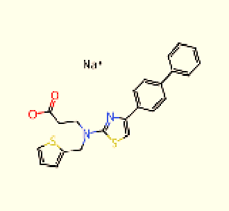 O=C([O-])CCN(Cc1cccs1)c1nc(-c2ccc(-c3ccccc3)cc2)cs1.[Na+]